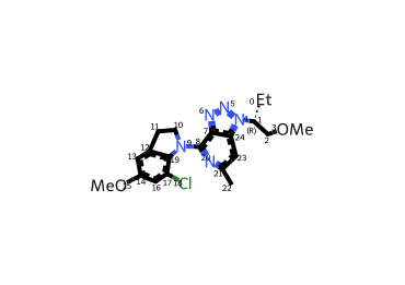 CC[C@H](COC)n1nnc2c(N3CCc4cc(OC)cc(Cl)c43)nc(C)cc21